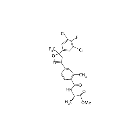 COC(=O)[C@@H](C)NC(=O)c1ccc(C2=NOC(c3cc(Cl)c(F)c(Cl)c3)(C(F)(F)F)C2)cc1C